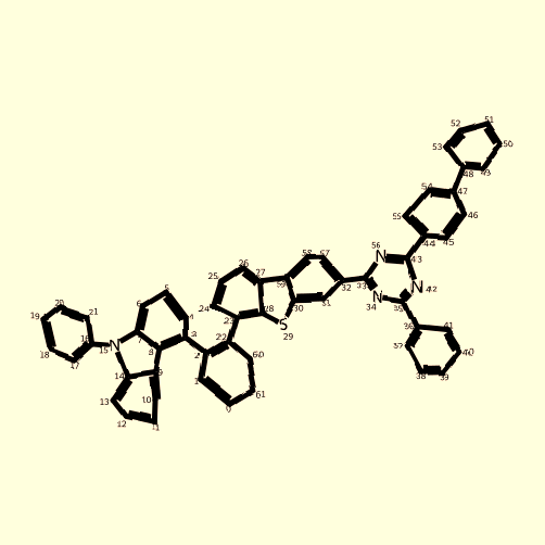 C1=CC(c2cccc3c2c2ccccc2n3-c2ccccc2)=C(c2cccc3c2sc2cc(-c4nc(-c5ccccc5)nc(-c5ccc(-c6ccccc6)cc5)n4)ccc23)CC1